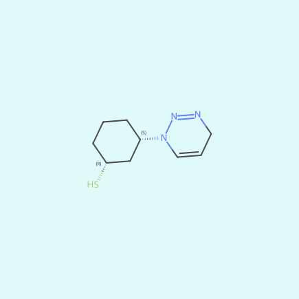 S[C@@H]1CCC[C@H](N2C=CCN=N2)C1